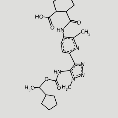 Cc1nc(-c2nnn(C)c2NC(=O)O[C@H](C)C2CCCC2)ccc1NC(=O)C1CCCCC1C(=O)O